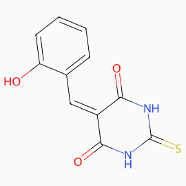 O=C1NC(=S)NC(=O)C1=Cc1ccccc1O